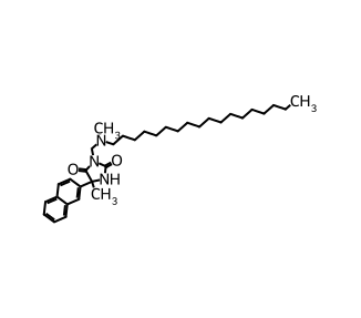 CCCCCCCCCCCCCCCCCCN(C)CN1C(=O)NC(C)(c2ccc3ccccc3c2)C1=O